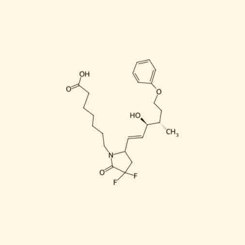 C[C@@H](CCOc1ccccc1)[C@H](O)C=CC1CC(F)(F)C(=O)N1CCCCCCC(=O)O